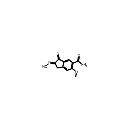 COc1cc2c(cc1C(N)=O)C(=O)/C(=N/O)C2